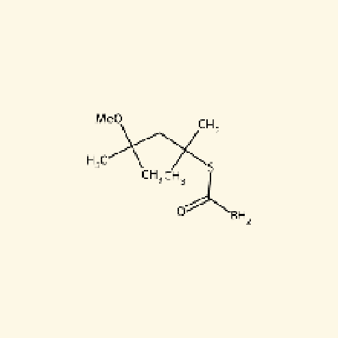 BC(=O)SC(C)(C)CC(C)(C)OC